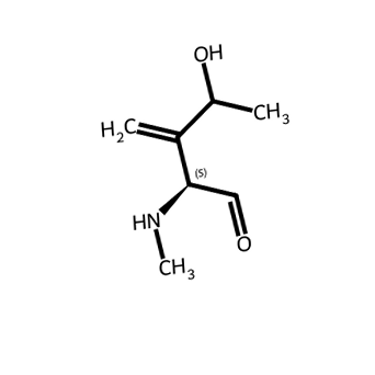 C=C(C(C)O)[C@@H](C=O)NC